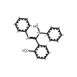 Cc1ccccc1C(=Nc1ccccc1)N(O)c1ccccc1